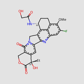 CC[C@@]1(O)C(=O)OCc2c1cc1n(c2=O)Cc2c-1nc1cc(F)c(OC)c3c1c2[C@H](NC(=O)CO)CC3